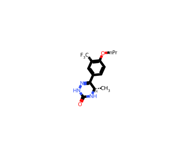 CCCOc1ccc(C2=NNC(=O)N[C@H]2C)cc1C(F)(F)F